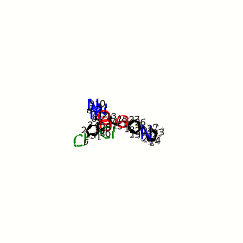 Clc1ccc(C2(Cn3cncn3)OCC(COc3ccc(-n4cccc4)cc3)O2)c(Cl)c1